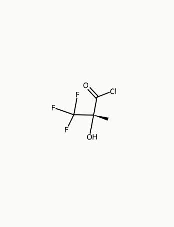 C[C@](O)(C(=O)Cl)C(F)(F)F